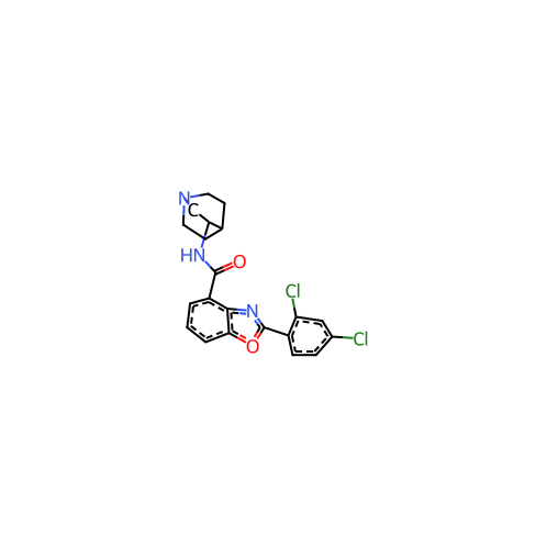 O=C(NC1CN2CCC1CC2)c1cccc2oc(-c3ccc(Cl)cc3Cl)nc12